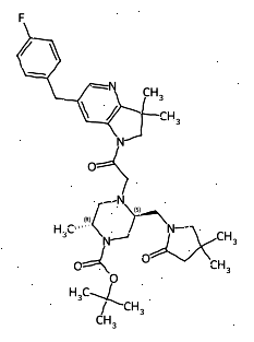 C[C@@H]1CN(CC(=O)N2CC(C)(C)c3ncc(Cc4ccc(F)cc4)cc32)[C@@H](CN2CC(C)(C)CC2=O)CN1C(=O)OC(C)(C)C